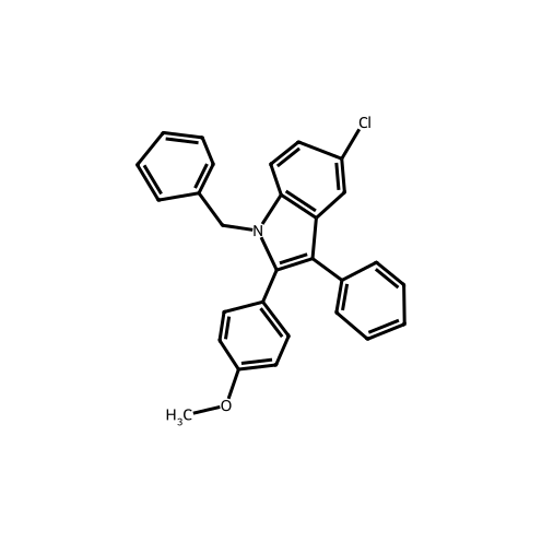 COc1ccc(-c2c(-c3ccccc3)c3cc(Cl)ccc3n2Cc2ccccc2)cc1